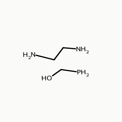 NCCN.OCP